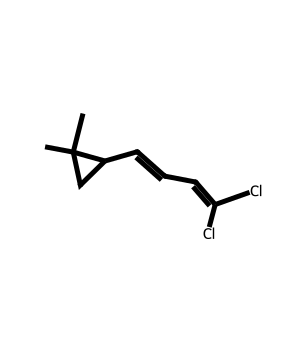 CC1(C)CC1C=CC=C(Cl)Cl